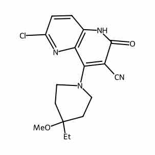 CCC1(OC)CCN(c2c(C#N)c(=O)[nH]c3ccc(Cl)nc23)CC1